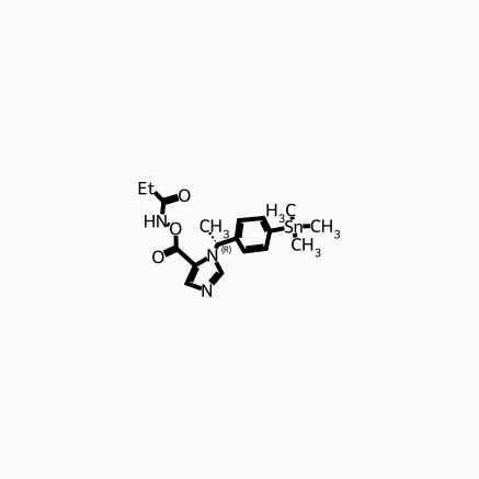 CCC(=O)NOC(=O)c1cncn1[C@H](C)c1cc[c]([Sn]([CH3])([CH3])[CH3])cc1